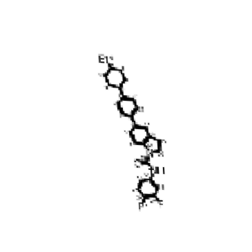 CCC1CCC(c2ccc(-c3ccc4c(c3)CCN4C(=O)Nc3ccc(F)c(F)c3)cc2)CC1